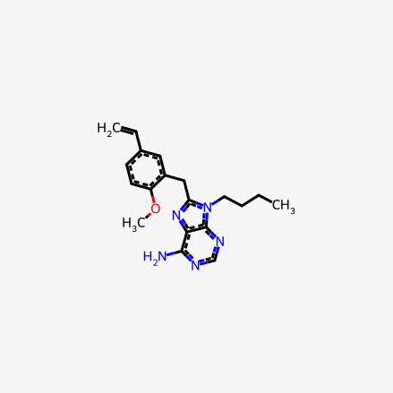 C=Cc1ccc(OC)c(Cc2nc3c(N)ncnc3n2CCCC)c1